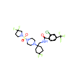 O=C(NCC1(N2CCN(S(=O)(=O)N3CCC(F)(F)C3)CC2)CCC(F)(F)CC1)c1ccc(C(F)(F)F)cc1Cl